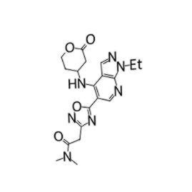 CCn1ncc2c(NC3CCOC(=O)C3)c(-c3nc(CC(=O)N(C)C)no3)cnc21